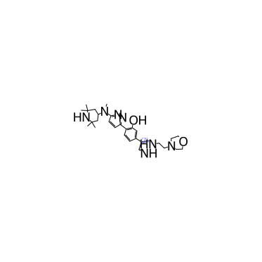 CN(c1ccc(-c2ccc(/C(C=N)=C/NCCN3CCOCC3)cc2O)nn1)C1CC(C)(C)NC(C)(C)C1